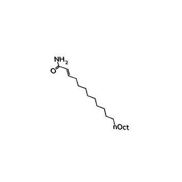 CCCCCCCCCCCCCCCCC/C=C/C(N)=O